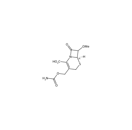 COC1C(=O)N2C(C(=O)O)=C(COC(N)=O)CS[C@H]12